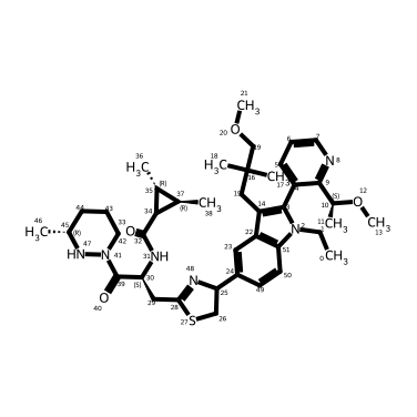 CCn1c(-c2cccnc2[C@H](C)OC)c(CC(C)(C)COC)c2cc(C3CSC(C[C@H](NC(=O)C4[C@H](C)[C@H]4C)C(=O)N4CCC[C@@H](C)N4)=N3)ccc21